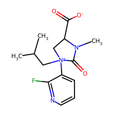 CC(C)C[N+]1(c2cccnc2F)CC(C(=O)[O-])N(C)C1=O